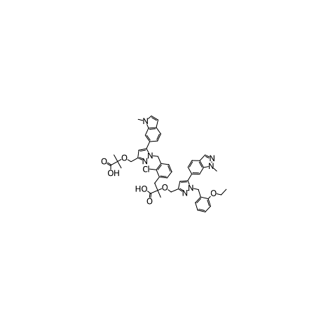 CCOc1ccccc1Cn1nc(COC(C)(Cc2cccc(Cn3nc(COC(C)(C)C(=O)O)cc3-c3ccc4ccn(C)c4c3)c2Cl)C(=O)O)cc1-c1ccc2cnn(C)c2c1